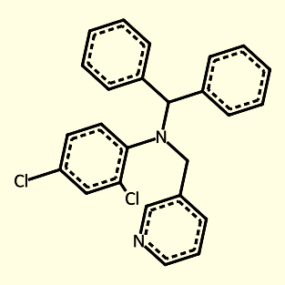 Clc1ccc(N(Cc2cccnc2)C(c2ccccc2)c2ccccc2)c(Cl)c1